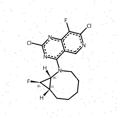 Fc1c(Cl)ncc2c(N3CCCCC[C@@H]4[C@@H](F)[C@@H]43)nc(Cl)nc12